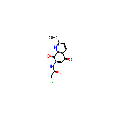 O=Cc1ccc2c(n1)C(=O)C(NC(=O)CCl)=CC2=O